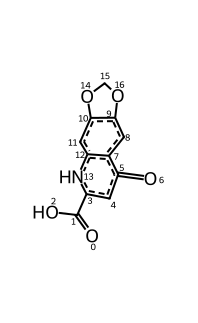 O=C(O)c1cc(=O)c2cc3c(cc2[nH]1)OCO3